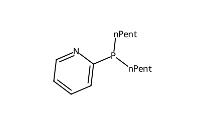 CCCCCP(CCCCC)c1ccccn1